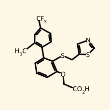 Cc1cc(C(F)(F)F)ccc1-c1cccc(OCC(=O)O)c1SCc1cncs1